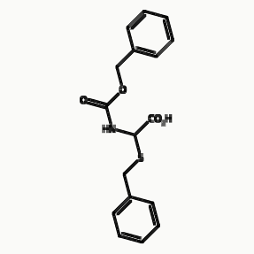 O=C(NC(SCc1ccccc1)C(=O)O)OCc1ccccc1